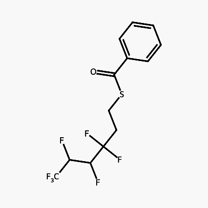 O=C(SCCC(F)(F)C(F)C(F)C(F)(F)F)c1ccccc1